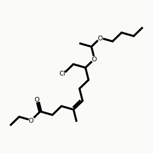 CCCCOC(C)OC(CCl)CCC=C(C)CCC(=O)OCC